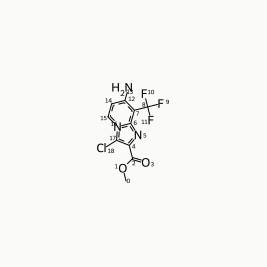 COC(=O)c1nc2c(C(F)(F)F)c(N)ccn2c1Cl